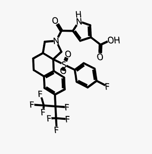 O=C(O)c1c[nH]c(C(=O)N2CC3CCc4cc(C(F)(C(F)(F)F)C(F)(F)F)ccc4C3(S(=O)(=O)c3ccc(F)cc3)C2)c1